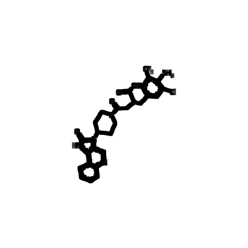 COC(=O)C(CC(=O)N1CCC(n2c(=O)[nH]c3c4ccccc4ncc32)CC1)Cc1cc(Cl)c(N)c(C(F)(F)F)c1